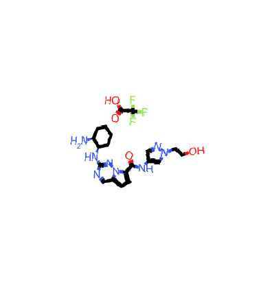 N[C@H]1CCCC[C@H]1Nc1ncc2ccc(C(=O)Nc3cnn(CCO)c3)n2n1.O=C(O)C(F)(F)F